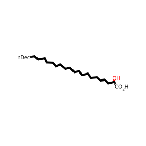 CCCCCCCCCCCCCCCCCCCCCCCCCC=CCC(O)C(=O)O